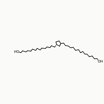 OCCCCCCCCCCCCCCCC1CC[C@H](CCCCCCCCCCCCCCCO)C1